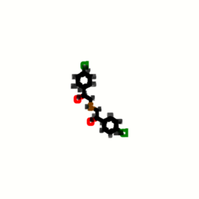 O=C(CSCC(=O)c1ccc(Cl)cc1)c1ccc(Cl)cc1